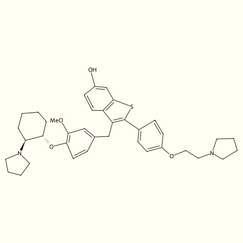 COc1cc(Cc2c(-c3ccc(OCCN4CCCC4)cc3)sc3cc(O)ccc23)ccc1O[C@H]1CCCC[C@@H]1N1CCCC1